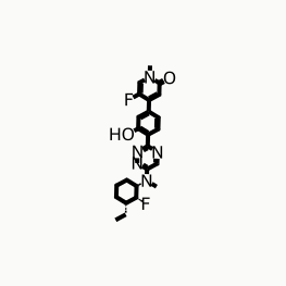 CC[C@@H]1CCC[C@H](N(C)c2cnc(-c3ccc(-c4cc(=O)n(C)cc4F)cc3O)nn2)[C@@H]1F